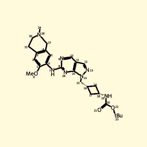 COc1cc2c(cc1Nc1ncc3cnn(C[C@H]4C[C@@H](NC(=O)OC(C)(C)C)C4)c3n1)CN(C)CC2